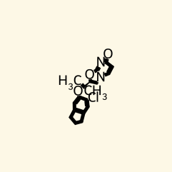 CC(C)(Oc1cc2c(cc1Cl)CCC2)[C@@H]1Cn2ccc(=O)nc2O1